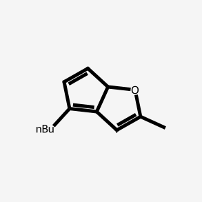 CCCCC1=C2[C]=C(C)OC2C=C1